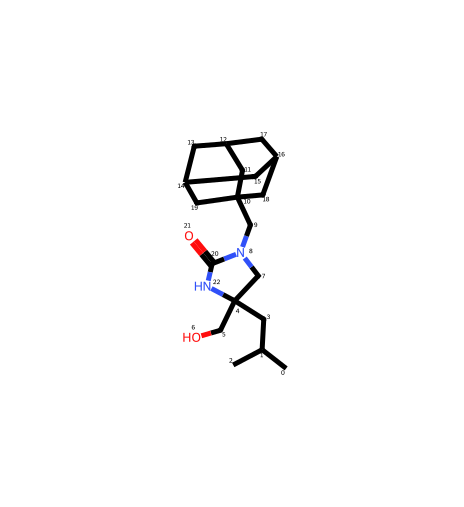 CC(C)CC1(CO)CN(CC23CC4CC(CC(C4)C2)C3)C(=O)N1